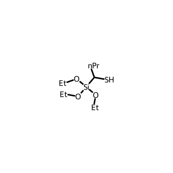 CCCC(S)[Si](OCC)(OCC)OCC